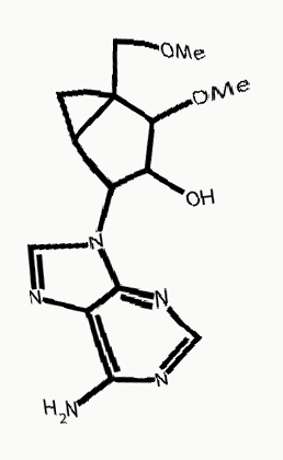 COCC12CC1C(n1cnc3c(N)ncnc31)C(O)C2OC